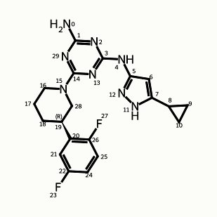 Nc1nc(Nc2cc(C3CC3)[nH]n2)nc(N2CCC[C@H](c3cc(F)ccc3F)C2)n1